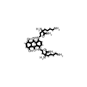 NCCCCC(N)(CCNc1ccc(NCCC(N)(CCCCN)C(N)=O)c2c1C(=O)c1c(O)ccc(O)c1C2=O)C(N)=O